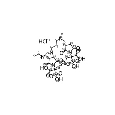 CCN=C=NCCCN(C)C.Cl.O=C1CCC(=O)N1C(CSSCC(C(=O)O)(N1C(=O)CCC1=O)S(=O)(=O)O)(C(=O)O)S(=O)(=O)O